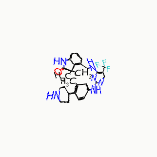 Cc1cc(Nc2ncc(C(F)(F)F)c(NCc3cccc4c3C(C)(C)C(=O)N4)n2)ccc1C1CCNCC1